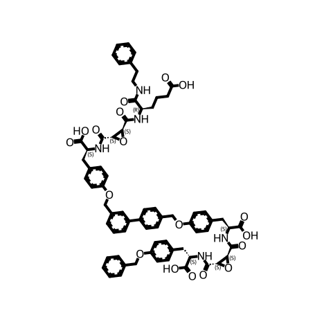 O=C(O)CCC[C@@H](NC(=O)[C@H]1O[C@@H]1C(=O)N[C@@H](Cc1ccc(OCc2cccc(-c3ccc(COc4ccc(C[C@H](NC(=O)[C@H]5O[C@@H]5C(=O)N[C@@H](Cc5ccc(OCc6ccccc6)cc5)C(=O)O)C(=O)O)cc4)cc3)c2)cc1)C(=O)O)C(=O)NCCc1ccccc1